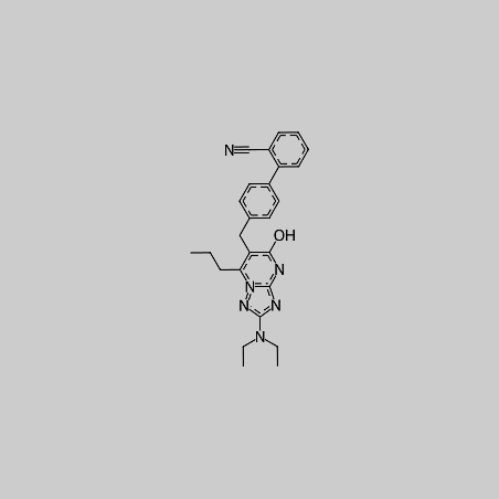 CCCc1c(Cc2ccc(-c3ccccc3C#N)cc2)c(O)nc2nc(N(CC)CC)nn12